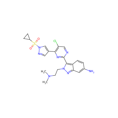 CN(C)CCn1nc2cc(N)ccc2c1-c1ncc(Cl)c(-c2cnn(S(=O)(=O)C3CC3)c2)n1